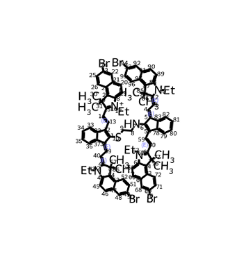 CCN1/C(=C/C=C2C(NCCSC3=C(/C=C/C4=[N+](CC)c5ccc6cc(Br)ccc6c5C4(C)C)c4ccccc4/C3=C\C=C3\N(CC)c4ccc5cc(Br)ccc5c4C3(C)C)=C(/C=C/C3=[N+](CC)c4ccc5cc(Br)ccc5c4C3(C)C)c3ccccc3/2)C(C)(C)c2c1ccc1cc(Br)ccc21